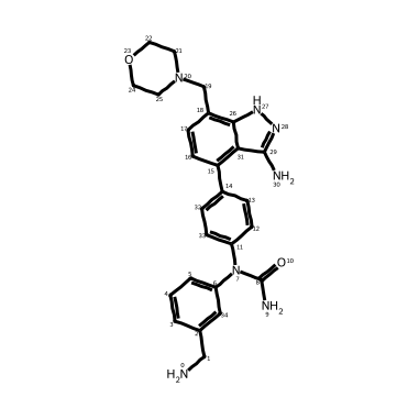 NCc1cccc(N(C(N)=O)c2ccc(-c3ccc(CN4CCOCC4)c4[nH]nc(N)c34)cc2)c1